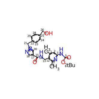 Cc1cc(NC(=O)OC(C)(C)C)nc(C)c1CNC(=O)c1cnn(Cc2ccc(CO)cc2)c1